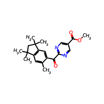 COC(=O)c1cnc(C(=O)c2cc3c(cc2C)C(C)(C)CC3(C)C)nc1